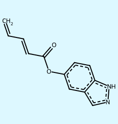 C=CC=CC(=O)Oc1ccc2[nH]ncc2c1